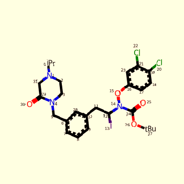 CC(C)N1CCN(Cc2cccc(CC(I)N(Oc3ccc(Cl)c(Cl)c3)C(=O)OC(C)(C)C)c2)C(=O)C1